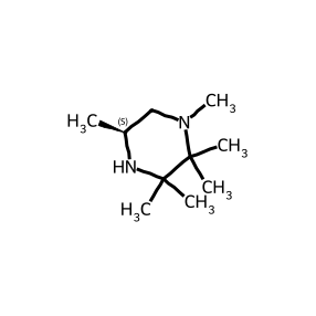 C[C@H]1CN(C)C(C)(C)C(C)(C)N1